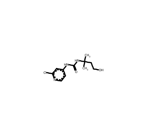 CC(C)(CCO)NC(=O)Nc1ccnc(Cl)c1